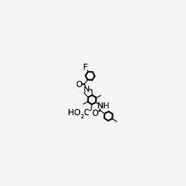 Cc1ccc(C(=O)Nc2c(C)c3c(c(C)c2CC(=O)O)CN(C(=O)c2cccc(F)c2)C3)cc1